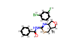 O=C(NC1=N[C@@]2(c3cc(F)cc(Br)c3)COC[C@H]2CS1)c1ccccc1